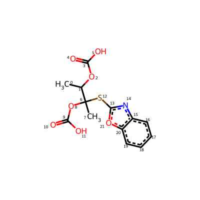 CC(OC(=O)O)C(C)(OC(=O)O)Sc1nc2ccccc2o1